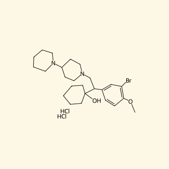 COc1ccc(C(CN2CCC(N3CCCCC3)CC2)C2(O)CCCCC2)cc1Br.Cl.Cl